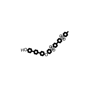 Cc1ccc(S(=O)(=O)c2ccc(-c3ccc(S(=O)(=O)c4ccc(Oc5ccc(-c6ccc(-c7ccc(O)cc7)cc6)cc5)cc4)cc3)cc2)cc1